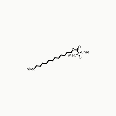 CCCCCCCCCCCCCCCCCCCCCCOC(=O)P(=O)(OC)OC